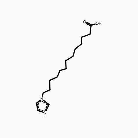 O=C(O)CCCCCCCCCCCC[n+]1cc[nH]c1